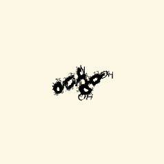 Oc1ccc(C(c2ccc(O)cc2)c2cnccc2CN2CCN(c3ccccc3)CC2)cc1